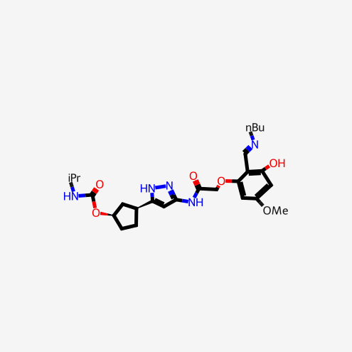 CCCC/N=C/c1c(O)cc(OC)cc1OCC(=O)Nc1cc([C@H]2CC[C@@H](OC(=O)NC(C)C)C2)[nH]n1